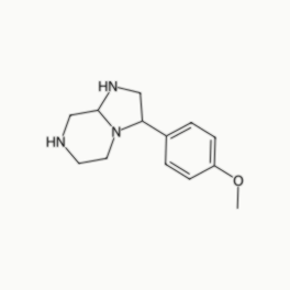 COc1ccc(C2CNC3CNCCN32)cc1